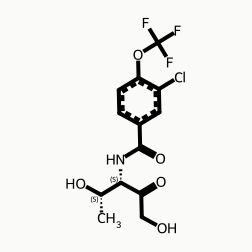 C[C@H](O)[C@H](NC(=O)c1ccc(OC(F)(F)F)c(Cl)c1)C(=O)CO